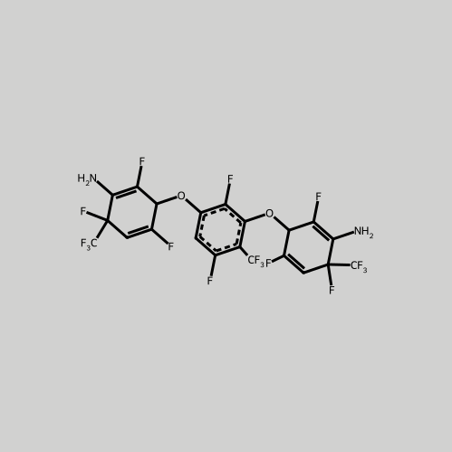 NC1=C(F)C(Oc2cc(F)c(C(F)(F)F)c(OC3C(F)=CC(F)(C(F)(F)F)C(N)=C3F)c2F)C(F)=CC1(F)C(F)(F)F